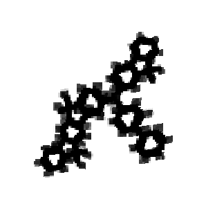 CC1(C)c2ccccc2-c2ccc(N(c3ccc(-c4ccccc4)cc3)c3ccc4c(c3)-c3cc5c(cc3C4(C)C)-c3ccccc3C5(C)C)cc21